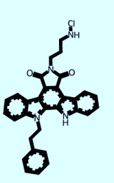 O=C1c2c(c3c4ccccc4n(CCc4ccccc4)c3c3[nH]c4ccccc4c23)C(=O)N1CCCNCl